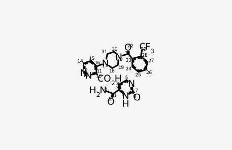 NC(=O)c1ccnc(=O)[nH]1.O=C(O)c1nnccc1N1CCN(C(=O)c2ccccc2C(F)(F)F)CC1